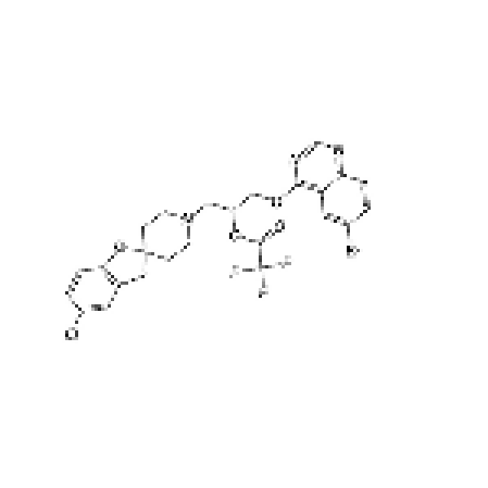 O=C(OC(COc1ncnc2ccc(Br)cc12)CN1CCC2(CC1)Cc1cc(Cl)ccc1O2)C(F)(F)F